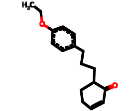 CCOc1ccc(CCCC2CCC=CC2=O)cc1